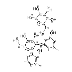 Cc1cccc(O)c1.Cc1cccc([C@@]2(S)O[C@H](CO)[C@@H](O)[C@H](O)[C@H]2O)c1.OC[C@H]1O[C@H](S)[C@H](O)[C@@H](O)[C@@H]1O